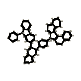 c1ccc(-n2c3ccccc3c3ccc(-c4nc5ccccc5nc4-c4ccc(-n5c6ccc7ccccc7c6c6c7ccccc7ccc65)cc4)cc32)cc1